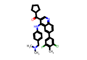 Cc1c(F)cc(-c2ccc3ncc(C(=O)C4CCCC4)c(Nc4ccc(CN(C)C)cc4)c3c2)cc1Cl